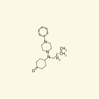 C=C.CCN(C1CCC(=O)CC1)N1CCN(c2ccccc2)CC1